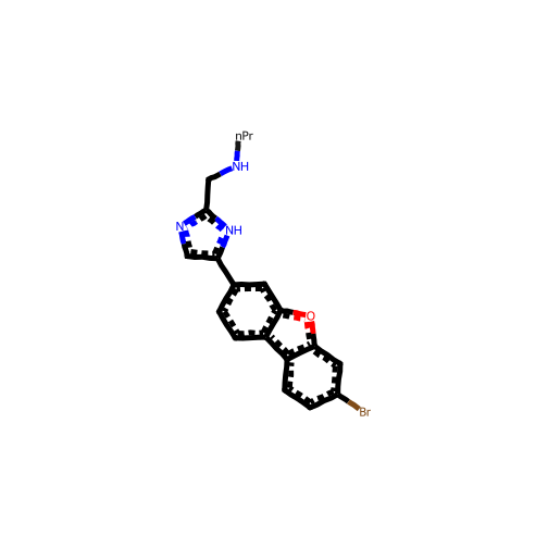 CCCNCc1ncc(-c2ccc3c(c2)oc2cc(Br)ccc23)[nH]1